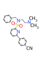 CN(C)CCN(Cc1ccccc1)S(=O)(=O)c1cccc(-c2ccc(C#N)cc2)n1